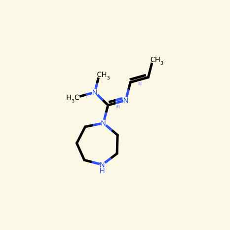 C/C=C/N=C(\N(C)C)N1CCCNCC1